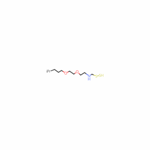 CC(C)CCCOCCOCCNCSS